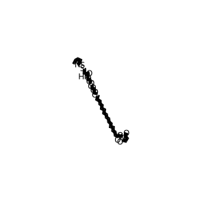 O=C(CCSSc1ccccn1)NOOOOOOOOCCCCCCCCCCCCCCCCCCC(=O)ON1C(=O)CCC1=O